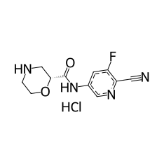 Cl.N#Cc1ncc(NC(=O)[C@H]2CNCCO2)cc1F